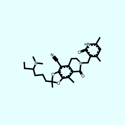 CCC(CCCC1(C)Oc2c(C)c3c(c(C#N)c2O1)CCN(Cc1c(C)cc(C)[nH]c1=O)C3=O)N(C)C